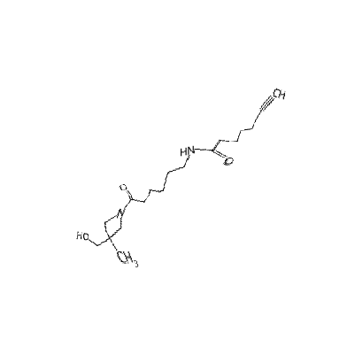 C#CCCCCC(=O)NCCCCCC(=O)N1CC(C)(CO)C1